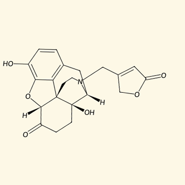 O=C1C=C(CN2CC[C@]34c5c6ccc(O)c5O[C@H]3C(=O)CC[C@@]4(O)[C@H]2C6)CO1